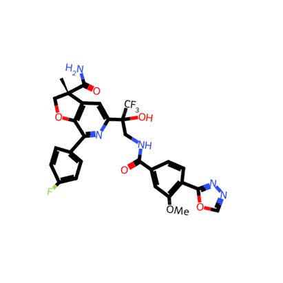 COc1cc(C(=O)NCC(O)(c2cc3c(c(-c4ccc(F)cc4)n2)OC[C@]3(C)C(N)=O)C(F)(F)F)ccc1-c1nnco1